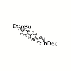 CCCCCCCCCCc1ccc(-c2ccc(C3CCC(CC(CC)CCCC)CC3)cc2)cc1